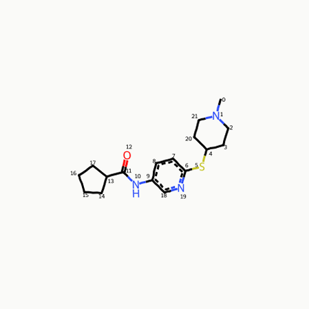 CN1CCC(Sc2ccc(NC(=O)C3CCCC3)cn2)CC1